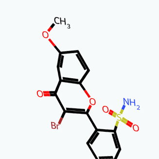 COc1ccc2oc(-c3ccccc3S(N)(=O)=O)c(Br)c(=O)c2c1